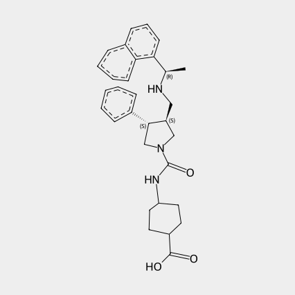 C[C@@H](NC[C@H]1CN(C(=O)NC2CCC(C(=O)O)CC2)C[C@@H]1c1ccccc1)c1cccc2ccccc12